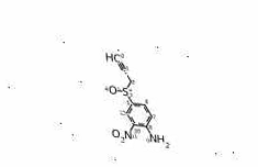 C#CC[S+]([O-])c1ccc(N)c([N+](=O)[O-])c1